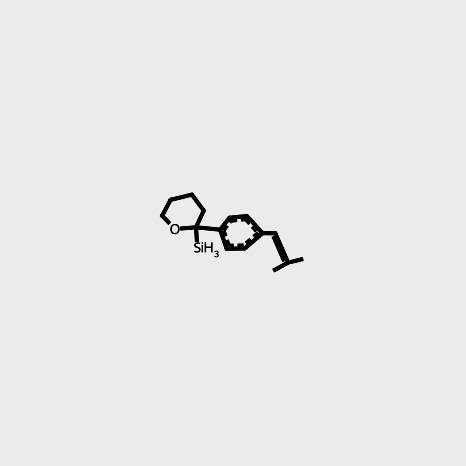 CC(C)=Cc1ccc(C2([SiH3])CCCCO2)cc1